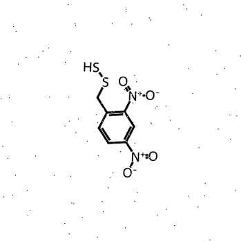 O=[N+]([O-])c1ccc(CSS)c([N+](=O)[O-])c1